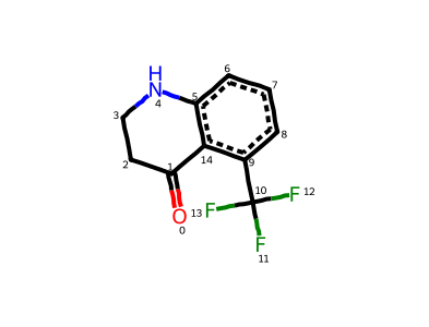 O=C1CCNc2cccc(C(F)(F)F)c21